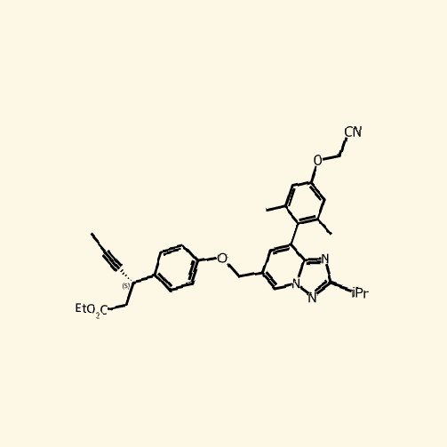 CC#C[C@@H](CC(=O)OCC)c1ccc(OCc2cc(-c3c(C)cc(OCC#N)cc3C)c3nc(C(C)C)nn3c2)cc1